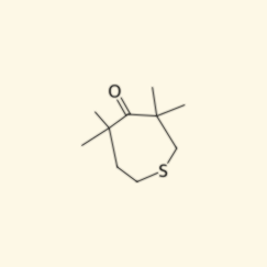 CC1(C)CCSCC(C)(C)C1=O